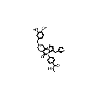 CNC(=O)c1ccc(-n2c(=O)c3c(n4ncc(Cc5ccsc5)c24)CN(Cc2ccc(OC)c(OC)c2)CC3)cc1